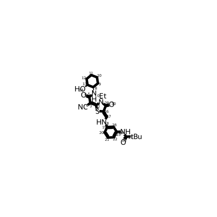 CCn1c(=C(C#N)C(=O)N[C@H]2CCCC[C@@H]2O)sc(=CNc2cccc(NC(=O)C(C)(C)C)c2)c1=O